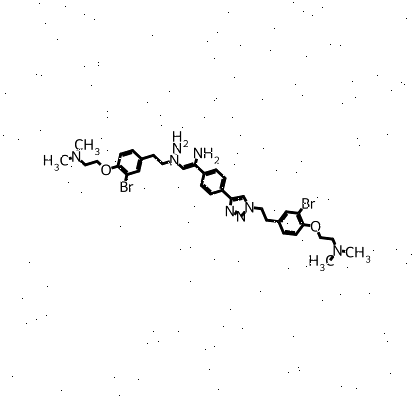 CN(C)CCOc1ccc(CCN(N)/C=C(\N)c2ccc(-c3cn(CCc4ccc(OCCN(C)C)c(Br)c4)nn3)cc2)cc1Br